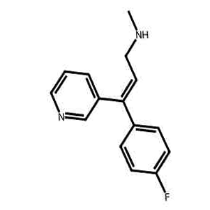 CNCC=C(c1ccc(F)cc1)c1cccnc1